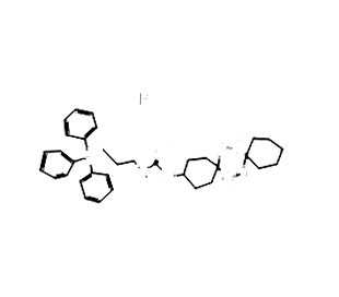 O=C(NCCC[P+](c1ccccc1)(c1ccccc1)c1ccccc1)OC1CCC2(CC1)OOC1(CCCCC1)OO2.[Br-]